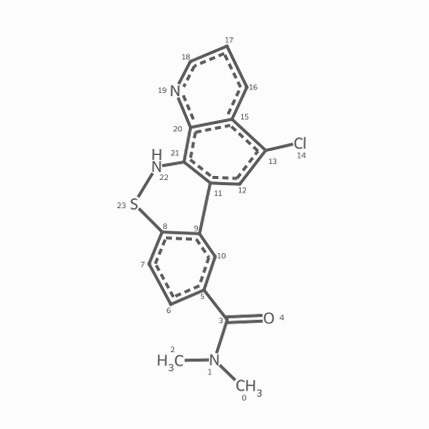 CN(C)C(=O)c1ccc2c(c1)-c1cc(Cl)c3cccnc3c1NS2